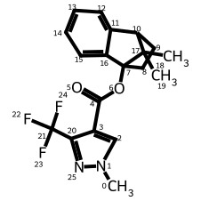 Cn1cc(C(=O)OC23CCC(c4ccccc42)C3(C)C)c(C(F)(F)F)n1